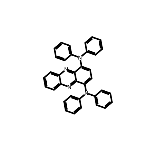 c1ccc(N(c2ccccc2)c2ccc(N(c3ccccc3)c3ccccc3)c3nc4ccccc4nc23)cc1